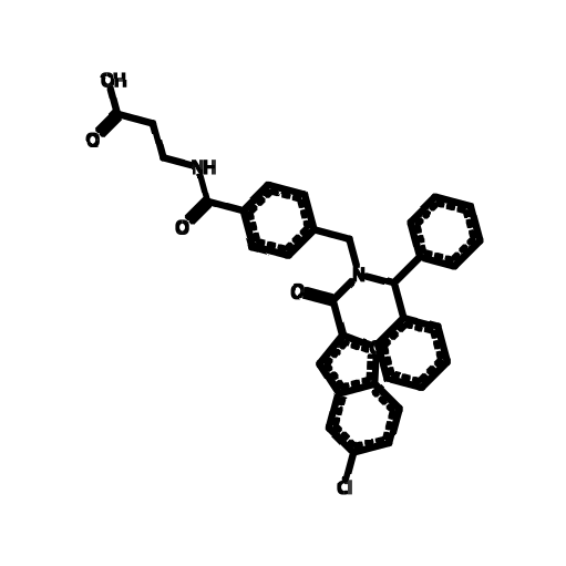 O=C(O)CCNC(=O)c1ccc(CN(C(=O)c2cc3cc(Cl)ccc3o2)C(c2ccccc2)c2ccccc2)cc1